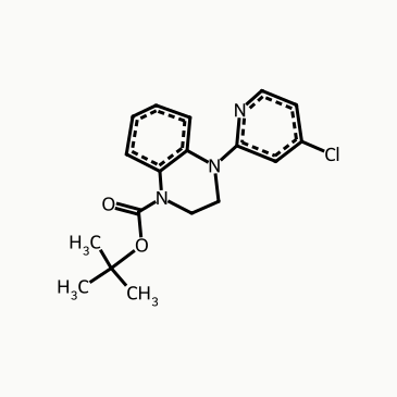 CC(C)(C)OC(=O)N1CCN(c2cc(Cl)ccn2)c2ccccc21